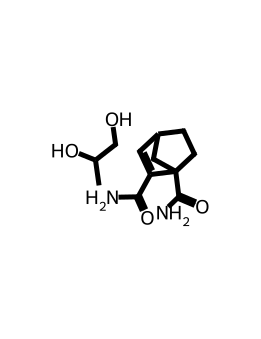 CC(O)CO.NC(=O)C1=CC2CCC1(C(N)=O)C2